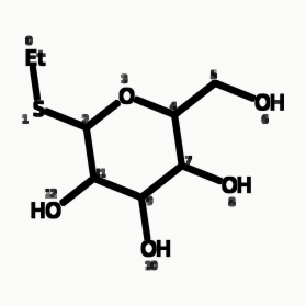 CCSC1OC(CO)C(O)C(O)C1O